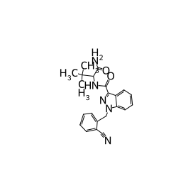 CC(C)(C)C(NC(=O)c1nn(Cc2ccccc2C#N)c2ccccc12)C(N)=O